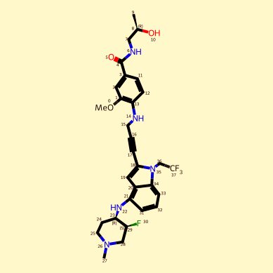 COc1cc(C(=O)NC[C@@H](C)O)ccc1NCC#Cc1cc2c(N[C@@H]3CCN(C)C[C@@H]3F)cccc2n1CC(F)(F)F